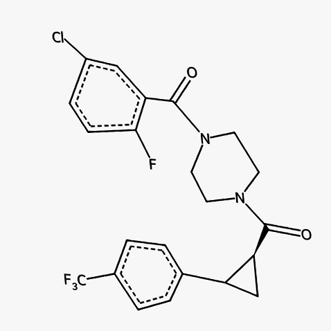 O=C(c1cc(Cl)ccc1F)N1CCN(C(=O)[C@H]2CC2c2ccc(C(F)(F)F)cc2)CC1